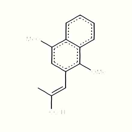 COc1cc(C=C(C)C(=O)O)c(OC)c2ccccc12